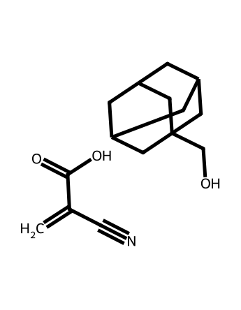 C=C(C#N)C(=O)O.OCC12CC3CC(CC(C3)C1)C2